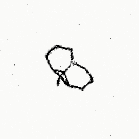 CC12C3CCCN1CCCC32